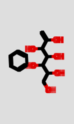 C=C(O)C(O)C(O)C(O)C(O)CO.c1ccccc1